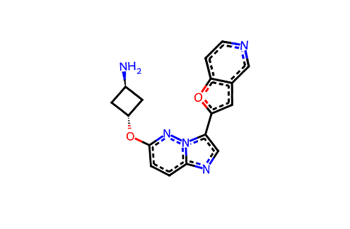 N[C@H]1C[C@H](Oc2ccc3ncc(-c4cc5cnccc5o4)n3n2)C1